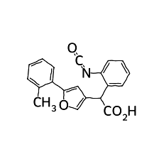 Cc1ccccc1-c1cc(C(C(=O)O)c2ccccc2N=C=O)co1